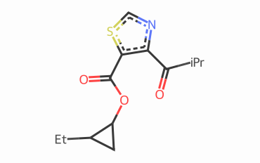 CCC1CC1OC(=O)c1scnc1C(=O)C(C)C